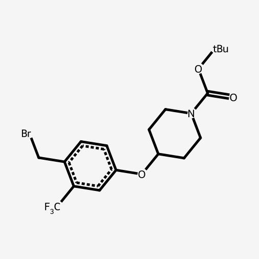 CC(C)(C)OC(=O)N1CCC(Oc2ccc(CBr)c(C(F)(F)F)c2)CC1